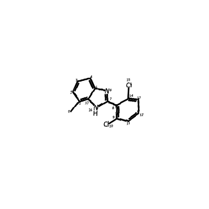 Cc1cccc2nc(-c3c(Cl)cccc3Cl)[nH]c12